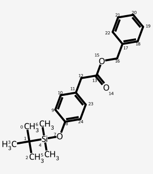 CC(C)(C)[Si](C)(C)Oc1ccc(CC(=O)OCc2ccccc2)cc1